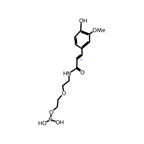 COc1cc(/C=C/C(=O)NCCOCCON(O)O)ccc1O